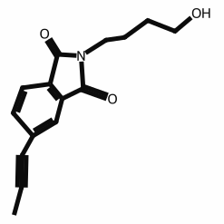 CC#Cc1ccc2c(c1)C(=O)N(CCCCO)C2=O